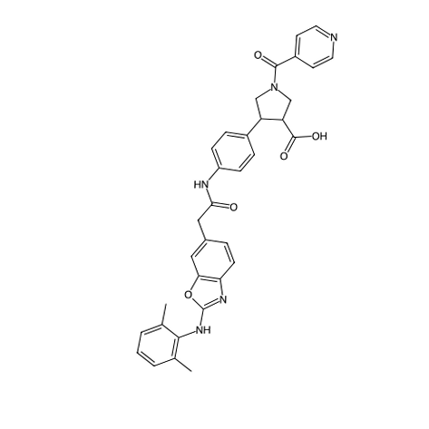 Cc1cccc(C)c1Nc1nc2ccc(CC(=O)Nc3ccc(C4CN(C(=O)c5ccncc5)CC4C(=O)O)cc3)cc2o1